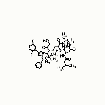 CC(C)CC(=O)N[C@@H](CC(N)=O)C(=O)NC(CCN(C(=O)CO)C(c1cc(-c2cc(F)ccc2F)cn1Cc1ccccc1)C(C)(C)C)C(=O)NC(C)C